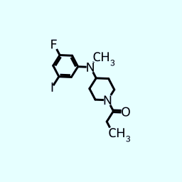 CCC(=O)N1CCC(N(C)c2cc(F)cc(I)c2)CC1